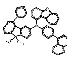 CC1(C)c2ccc(N(c3ccc(-c4cccc5ccccc45)cc3)c3cccc4oc5ccccc5c34)cc2-c2c(-c3ccccc3)cccc21